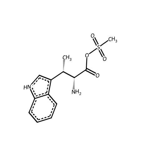 C[C@@H](c1c[nH]c2ccccc12)[C@@H](N)C(=O)OS(C)(=O)=O